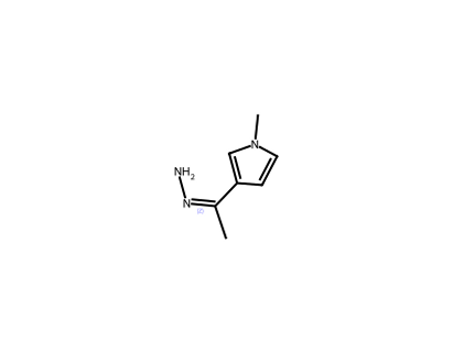 C/C(=N/N)c1ccn(C)c1